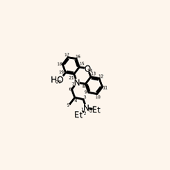 CCN(CC)CC(C)CN1c2ccccc2Oc2cccc(O)c21